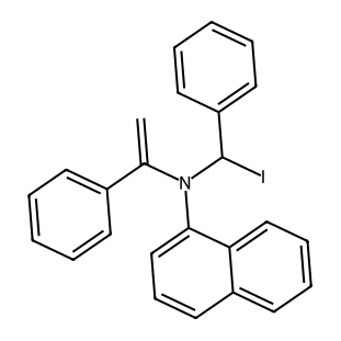 C=C(c1ccccc1)N(c1cccc2ccccc12)C(I)c1ccccc1